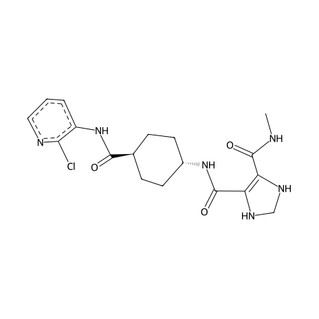 CNC(=O)C1=C(C(=O)N[C@H]2CC[C@H](C(=O)Nc3cccnc3Cl)CC2)NCN1